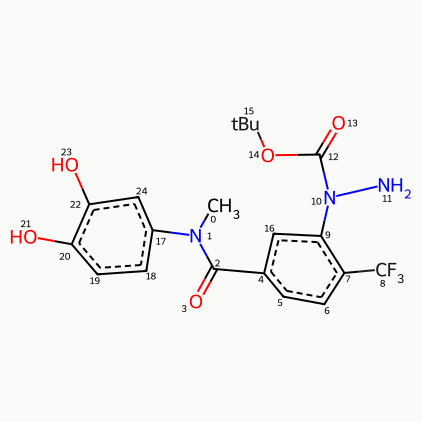 CN(C(=O)c1ccc(C(F)(F)F)c(N(N)C(=O)OC(C)(C)C)c1)c1ccc(O)c(O)c1